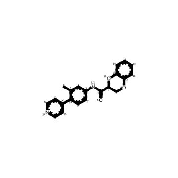 Cc1cc(NC(=O)C2COc3ccccc3O2)ccc1-c1ccncc1